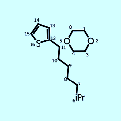 C1COCCO1.CC(C)CCCCCc1cccs1